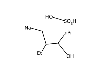 CCCC(O)C(CC)[CH2][Na].O=S(=O)(O)O